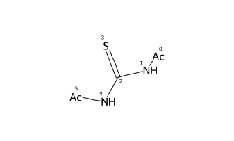 CC(=O)NC(=S)NC(C)=O